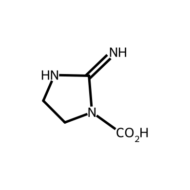 N=C1NCCN1C(=O)O